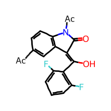 CC(=O)c1ccc2c(c1)C(=C(O)c1c(F)cccc1F)C(=O)N2C(C)=O